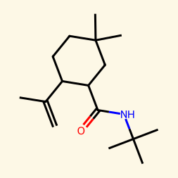 C=C(C)C1CCC(C)(C)CC1C(=O)NC(C)(C)C